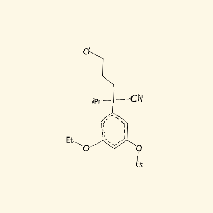 CCOc1cc(OCC)cc(C(C#N)(CCCCl)C(C)C)c1